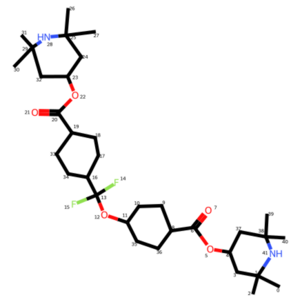 CC1(C)CC(OC(=O)C2CCC(OC(F)(F)C3CCC(C(=O)OC4CC(C)(C)NC(C)(C)C4)CC3)CC2)CC(C)(C)N1